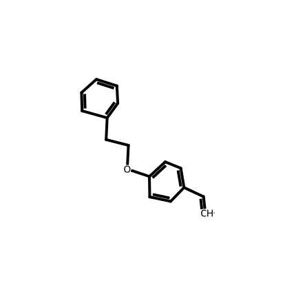 [CH]=Cc1ccc(OCCc2ccccc2)cc1